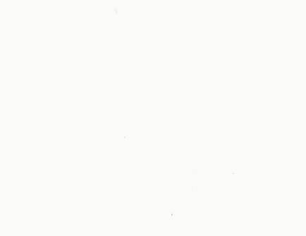 O=S(=O)(OCCC1C2CC3CC(C2)CC1C3)c1ccc(Br)cc1